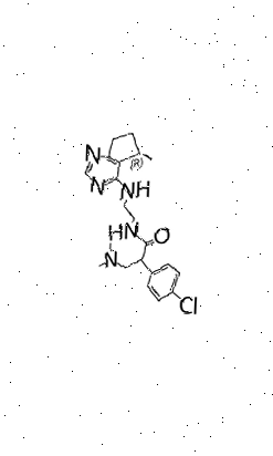 C[C@@H]1CCc2ncnc(NCCNC(=O)C(CN(C)C)c3ccc(Cl)cc3)c21